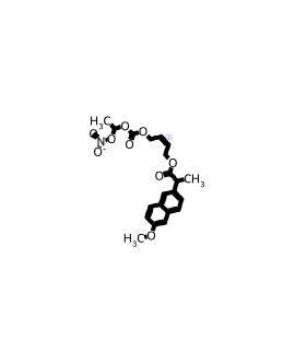 COc1ccc2cc(C(C)C(=O)OC/C=C\COC(=O)OC(C)O[N+](=O)[O-])ccc2c1